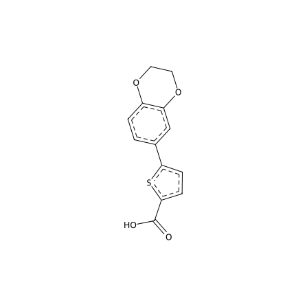 O=C(O)c1ccc(-c2ccc3c(c2)OCCO3)s1